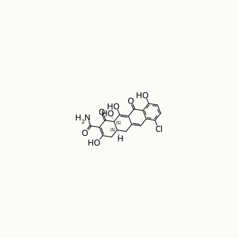 NC(=O)C1=C(O)C[C@@H]2CC3=Cc4c(Cl)ccc(O)c4C(=O)C3=C(O)[C@]2(O)C1=O